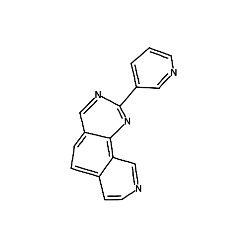 c1cncc(-c2ncc3ccc4ccncc4c3n2)c1